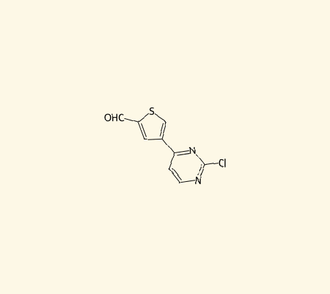 O=Cc1cc(-c2ccnc(Cl)n2)cs1